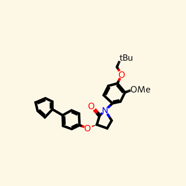 COc1cc(N2CC[C@H](Oc3ccc(-c4ccccc4)cc3)C2=O)ccc1OCC(C)(C)C